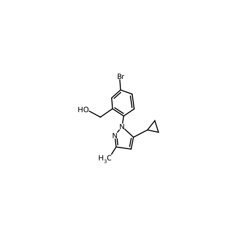 Cc1cc(C2CC2)n(-c2ccc(Br)cc2CO)n1